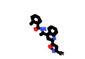 Cc1ccccc1C(=O)NC(C)c1cc(-c2cc(C(C)C)no2)nc2ccccc12